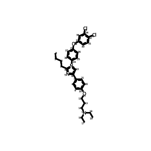 CCCCc1nc(-c2ccc(OCCCN(CC)CC)cc2)cn1-c1ccc(Oc2ccc(Cl)c(Cl)c2)cc1